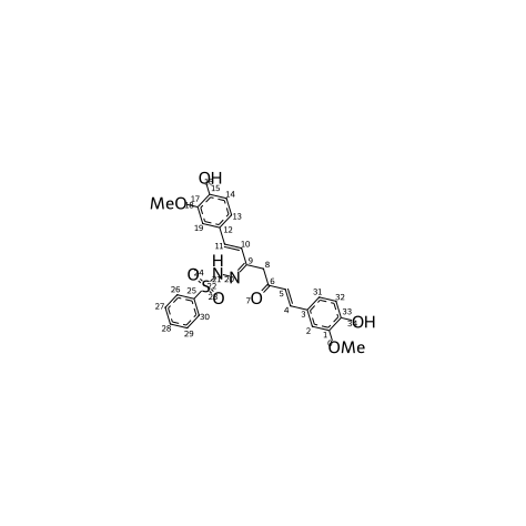 COc1cc(C=CC(=O)CC(C=Cc2ccc(O)c(OC)c2)=NNS(=O)(=O)c2ccccc2)ccc1O